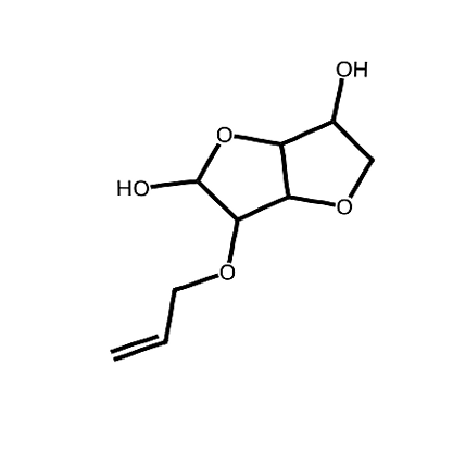 C=CCOC1C(O)OC2C(O)COC21